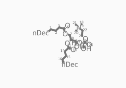 CCCCCCCCCCCCCC(=O)OCC(CO)OC(=O)CCCCCCCCCCCCC.C[N+](C)(C)CCOP(=O)(O)O